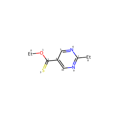 CCOC(=S)c1cnc(CC)nc1